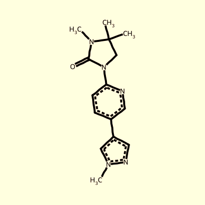 CN1C(=O)N(c2ccc(-c3cnn(C)c3)cn2)CC1(C)C